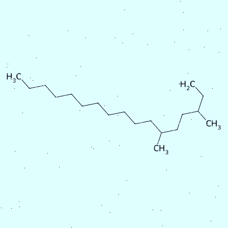 [CH2]CC(C)CCC(C)CCCCCCCCCCC